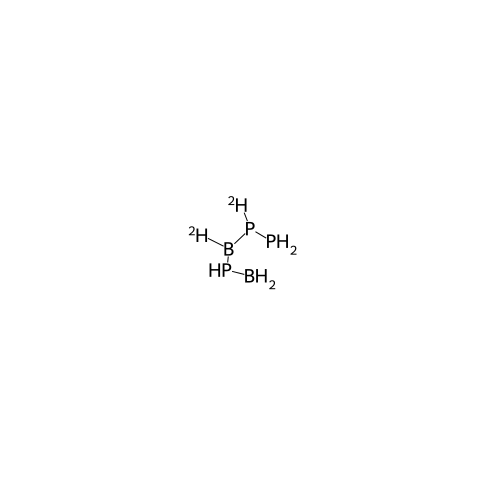 [2H]B(PB)P([2H])P